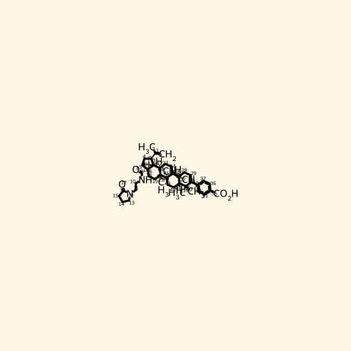 C=C(C)[C@@H]1CC[C@]2(C(=O)NCCN3CCCC3=O)CC[C@]3(C)[C@H](CC[C@@H]4[C@@]5(C)CC=C(c6ccc(C(=O)O)cc6)C(C)(C)[C@@H]5CC[C@]43C)[C@@H]12